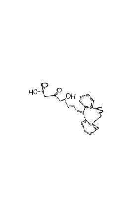 O=C(O)CC(=O)CC(O)C=CC=C1c2ccccc2CSc2ccccc21